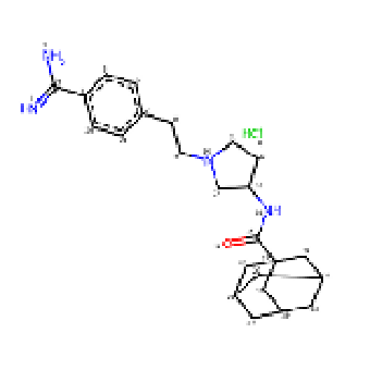 Cl.N=C(N)c1ccc(CCN2CCC(NC(=O)C34CC5CC(CC(C5)C3)C4)C2)cc1